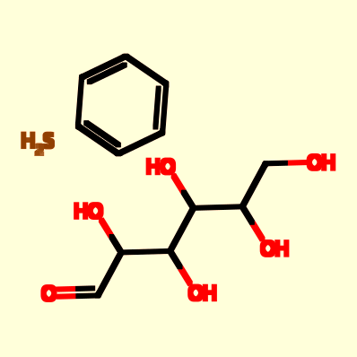 O=CC(O)C(O)C(O)C(O)CO.S.c1ccccc1